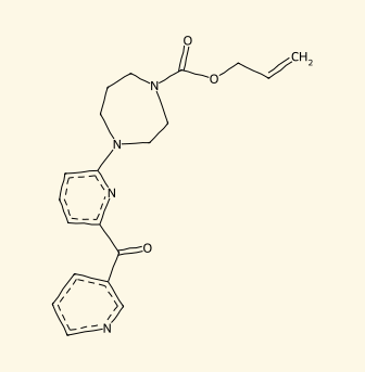 C=CCOC(=O)N1CCCN(c2cccc(C(=O)c3cccnc3)n2)CC1